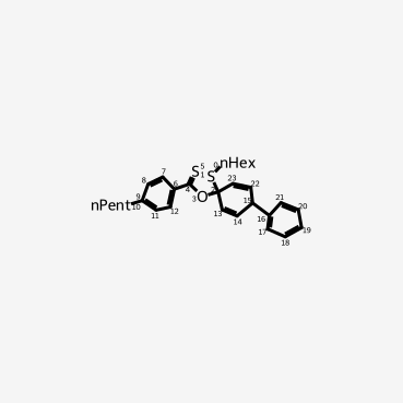 CCCCCCSC1(OC(=S)c2ccc(CCCCC)cc2)C=CC(c2ccccc2)C=C1